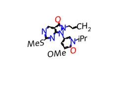 C=CCn1c(=O)c2cnc(SC)nc2n1-c1cc(OC)c(=O)n(C(C)C)c1